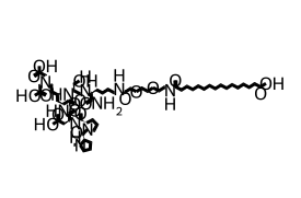 CN1CCC[C@H]1C(=O)N1CCC[C@H]1C(=O)N[C@@H](CC(=O)O)C(=O)N[C@@H](CCCCN(CC(=O)O)CC(=O)O)C(=O)N[C@@H](CO)C(=O)N[C@@H](CCCCNC(=O)COCCOCCNC(=O)CCCCCCCCCCCCCCC(=O)O)C(N)=O